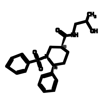 CC(O)CNC(=O)[C@@H]1CC[C@H](c2ccccc2)N(S(=O)(=O)c2ccccc2)C1